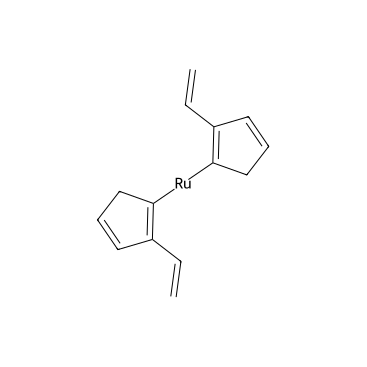 C=CC1=[C]([Ru][C]2=C(C=C)C=CC2)CC=C1